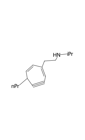 CCCC1C#CC=C(CCNC(C)C)C=C1